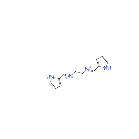 C(=N\CC/N=C/c1ccc[nH]1)/c1ccc[nH]1